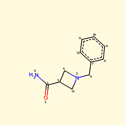 NC(=O)C1CN(Cc2ccccc2)C1